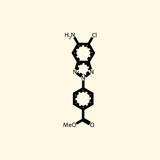 COC(=O)c1ccc(-n2nc3cc(N)c(Cl)cc3n2)cc1